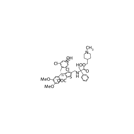 COc1ccc([C@H](Cc2c(Cl)c[n+](O)cc2Cl)c2cc(CNC(CO)(C(=O)OCC3CCN(C)CC3)c3ccccc3)sc2C(=O)[O-])cc1OC